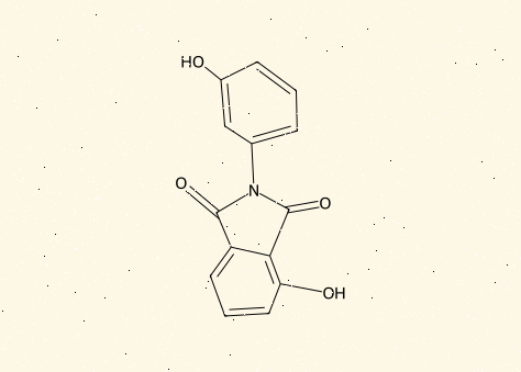 O=C1c2cccc(O)c2C(=O)N1c1cccc(O)c1